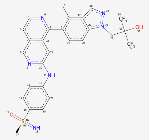 Cc1c(-c2nccc3cnc(Nc4ccc([S@](C)(=N)=O)cc4)cc23)ccc2c1cnn2CC(O)(C(F)(F)F)C(F)(F)F